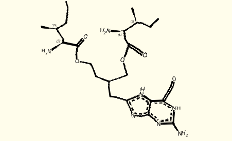 CC[C@H](C)[C@H](N)C(=O)OCCC(COC(=O)[C@@H](N)[C@@H](C)CC)Cc1nc2nc(N)[nH]c(=O)c2[nH]1